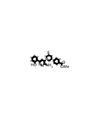 COC(=O)c1ccc([C@H]2C[C@@H](F)CN(c3cc(-c4ccccc4O)nnc3N)C2)cc1